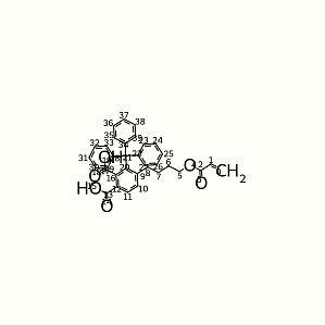 C=CC(=O)OCCCCc1ccc(C(=O)O)c(C(=O)O)c1C(c1ccccc1)(c1ccccc1)c1ccccc1